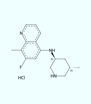 Cc1c(F)cc(N[C@@H]2CNC[C@@H](C)C2)c2cccnc12.Cl